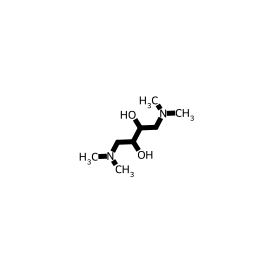 CN(C)CC(O)C(O)CN(C)C